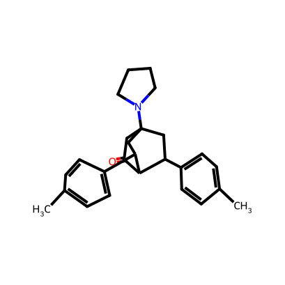 Cc1ccc(C2CC3(N4CCCC4)CC(=O)C2C(c2ccc(C)cc2)C3)cc1